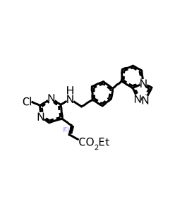 CCOC(=O)/C=C/c1cnc(Cl)nc1NCc1ccc(-c2cccn3cnnc23)cc1